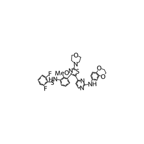 COc1c(NSc2c(F)cccc2F)cccc1-c1nc(N2CCOCC2)sc1-c1ccnc(Nc2ccc3c(c2)OCCO3)n1